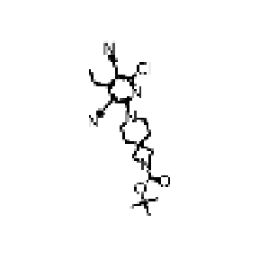 CCc1c(C#N)c(Cl)nc(N2CCC3(CC2)CN(C(=O)OC(C)(C)C)C3)c1C#N